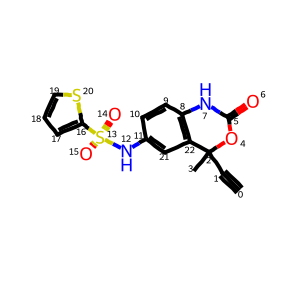 C#CC1(C)OC(=O)Nc2ccc(NS(=O)(=O)c3cccs3)cc21